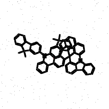 CC1(C)c2ccccc2-c2ccc(N(c3ccc4c(c3)C(C)(C)c3ccccc3-4)c3ccccc3-c3ccc4c(c3)-c3ccccc3C43c4ccccc4-n4c5ccccc5c5cccc3c54)cc21